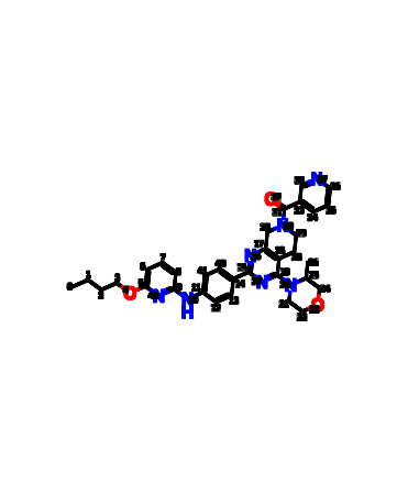 CCCCOc1cccc(Nc2ccc(-c3nc4c(c(N5CCOCC5C)n3)CCN(C(=O)c3cccnc3)C4)cc2)n1